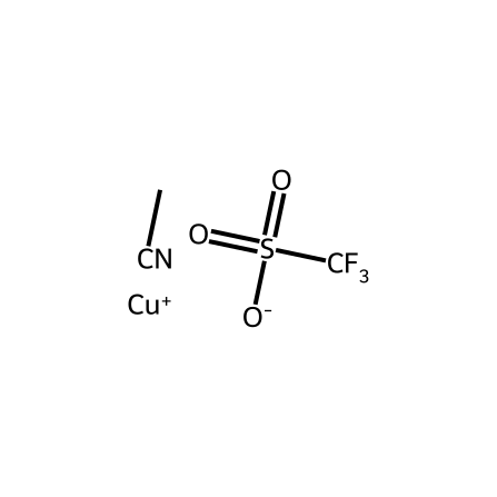 CC#N.O=S(=O)([O-])C(F)(F)F.[Cu+]